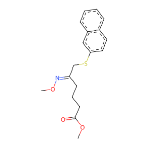 CO/N=C(\CCCC(=O)OC)CSc1ccc2ccccc2c1